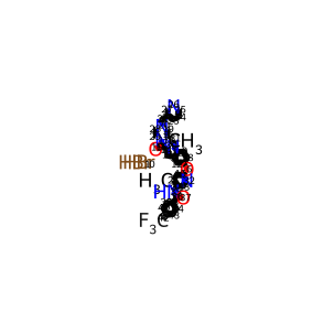 Br.Br.Cc1cc(Oc2ccc3c(c2)cc(C(=O)N2CCN(Cc4cccnc4)CC2)n3C)ncc1NC(=O)c1ccc(C(F)(F)F)cc1